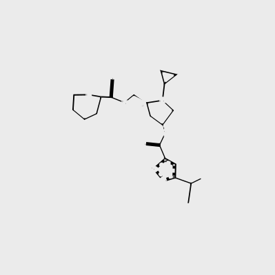 CC(C)c1cc(C(=O)N[C@H]2C[C@@H](CNC(=O)C3CCCCC3)N(C3CC3)C2)no1